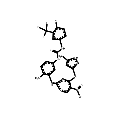 Cc1cc(Nc2nc(Nc3cc(NC(=O)Nc4ccc(Cl)c(C(F)(F)F)c4)ccc3C)ncc2[N+](=O)[O-])n[nH]1